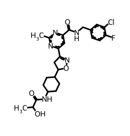 Cc1nc(C(=O)NCc2ccc(F)c(Cl)c2)cc(C2=NOC(C3CCC(NC(=O)C(C)O)CC3)C2)n1